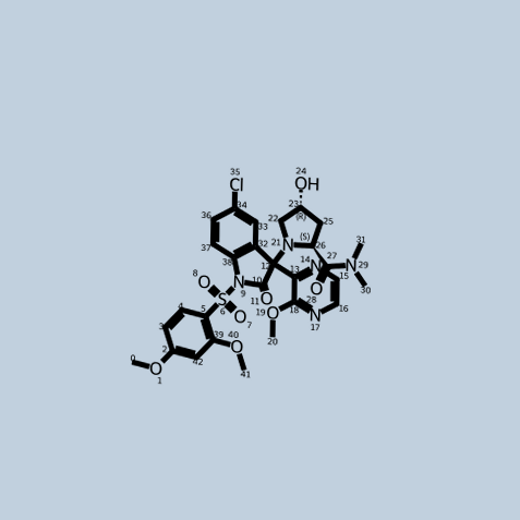 COc1ccc(S(=O)(=O)N2C(=O)C(c3nccnc3OC)(N3C[C@H](O)C[C@H]3C(=O)N(C)C)c3cc(Cl)ccc32)c(OC)c1